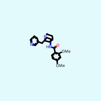 COc1ccc(C(=O)NC2C3CCN(CC3)C2Cc2cccnc2)c(OC)c1